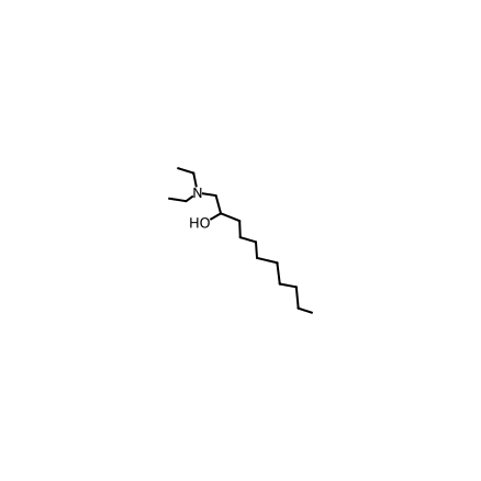 CCCCCCCCCC(O)CN(CC)CC